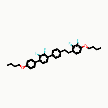 CCCCOc1ccc(-c2ccc(-c3ccc(CCc4ccc(OCCCC)c(F)c4F)cc3)c(F)c2F)cc1